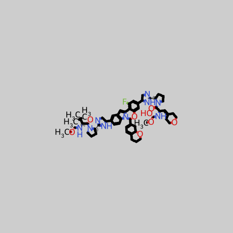 COCN[C@H](C(=O)N1CCC[C@H]1C1=NCC(c2ccc3c(c2)cc2n3C(C3=CC=C4CCCOC4C3)Oc3cc(C4CN=C([C@@H]5CCCN5C(=O)C(C=C5CCOCC5)NC(O)OC)N4)cc(F)c3-2)N1)C(C)(C)C